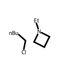 CCCCCCl.CCN1CCC1